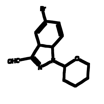 O=CC1=NN(C2CCCCO2)C2C=CC(Br)=CC12